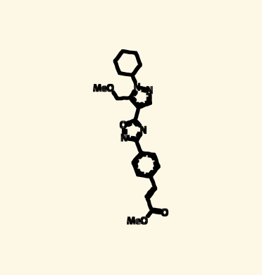 COCc1c(-c2nc(-c3ccc(C=CC(=O)OC)cc3)no2)cnn1C1CCCCC1